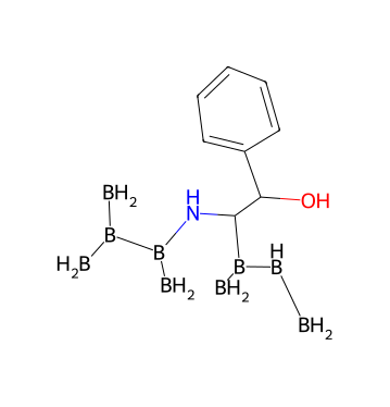 BBB(B)C(NB(B)B(B)B)C(O)c1ccccc1